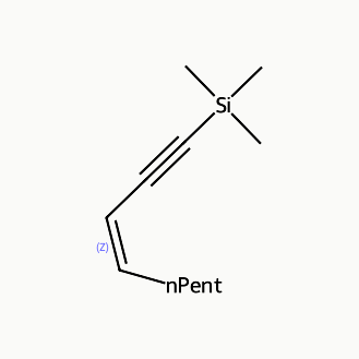 CCCCC/C=C\C#C[Si](C)(C)C